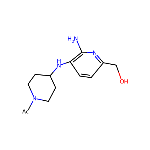 CC(=O)N1CCC(Nc2ccc(CO)nc2N)CC1